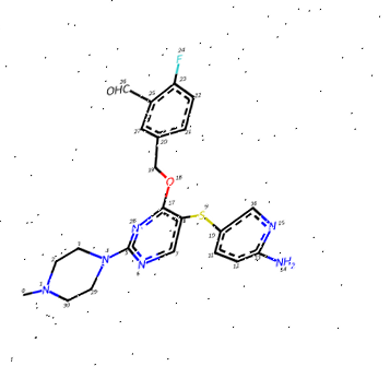 CN1CCN(c2ncc(Sc3ccc(N)nc3)c(OCc3ccc(F)c(C=O)c3)n2)CC1